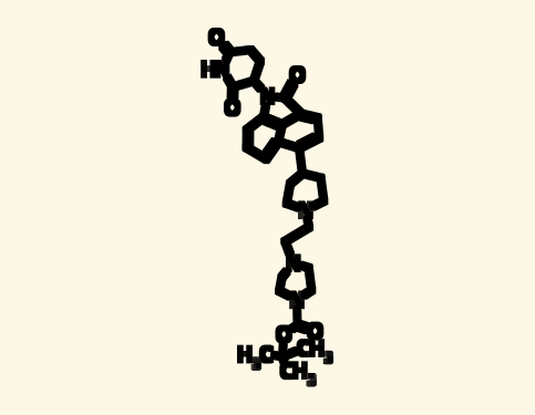 CC(C)(C)OC(=O)N1CCN(CCN2CCC(c3ccc4c5c(cccc35)N(C3CCC(=O)NC3=O)C4=O)CC2)CC1